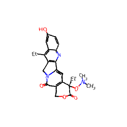 CCc1c2c(nc3ccc(O)cc13)-c1cc3c(c(=O)n1C2)COC(=O)[C@@]3(CC)ON(C)C